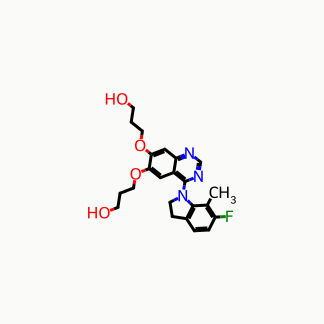 Cc1c(F)ccc2c1N(c1ncnc3cc(OCCCO)c(OCCCO)cc13)CC2